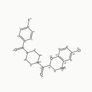 O=C(c1ccc(F)cc1)C1CCN(C(=O)C2CNc3cc(Cl)ccc3O2)CC1